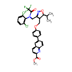 COC(=O)c1ccc2cc(-c3ccc(OCC4C(CN(C(=O)C(F)(F)F)c5c(Cl)cccc5Cl)=NOC4C(C)C)cc3)ccc2n1